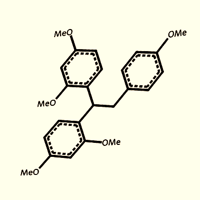 COc1ccc(CC(c2ccc(OC)cc2OC)c2ccc(OC)cc2OC)cc1